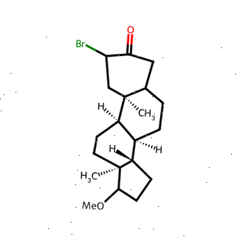 COC1CC[C@H]2[C@@H]3CCC4CC(=O)C(Br)C[C@]4(C)[C@@H]3CC[C@]12C